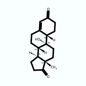 C[C@]12CC[C@]3(O)[C@H]4CCC(=O)C=C4CC[C@H]3[C@@H]1CCC2=O